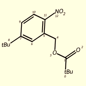 CC(C)(C)C(=O)OCc1cc(C(C)(C)C)ccc1[N+](=O)[O-]